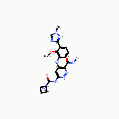 CNC(=O)c1nnc(NC(=O)N2C3CC2C3)cc1Nc1cccc(-c2ncn(C)n2)c1OC